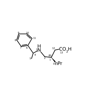 CCC[C@@H](CNC(C)c1ccccc1)CC(=O)O